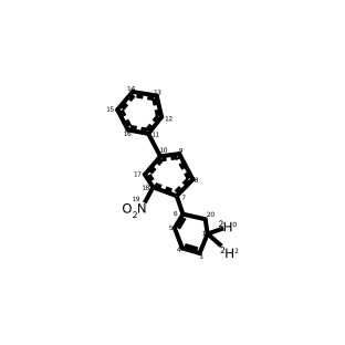 [2H]C1([2H])C=CC=C(c2ccc(-c3ccccc3)cc2[N+](=O)[O-])C1